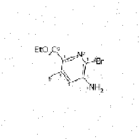 CCOC(=O)c1nc(Br)c(N)cc1C